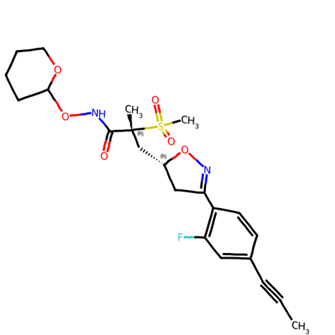 CC#Cc1ccc(C2=NO[C@@H](C[C@](C)(C(=O)NOC3CCCCO3)S(C)(=O)=O)C2)c(F)c1